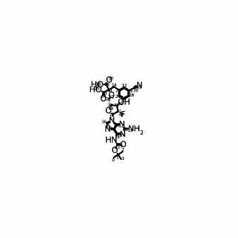 CC(C)(C)OC(=O)Nc1nc(N)nc2c1ncn2[C@@H]1O[C@H](COC(Cc2cccc(C#N)c2)(C(=O)O)C(=O)O)[C@@H](O)[C@@H]1F